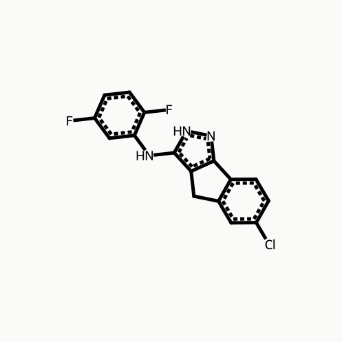 Fc1ccc(F)c(Nc2[nH]nc3c2Cc2cc(Cl)ccc2-3)c1